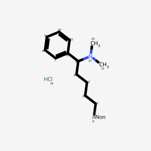 CCCCCCCCCCCCCC(c1ccccc1)N(C)C.Cl